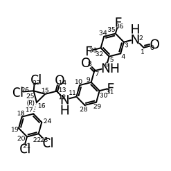 O=CNc1cc(NC(=O)c2cc(NC(=O)C3[C@H](c4ccc(Cl)c(Cl)c4)C3(Cl)Cl)ccc2F)c(F)cc1F